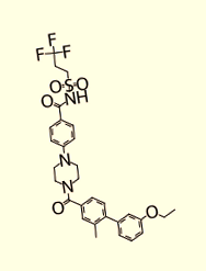 CCOc1cccc(-c2ccc(C(=O)N3CCN(c4ccc(C(=O)NS(=O)(=O)CCC(F)(F)F)cc4)CC3)cc2C)c1